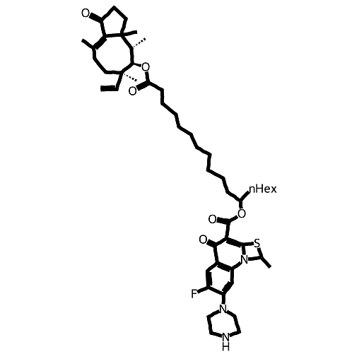 C=C[C@@]1(C)CC/C(C)=C2/C(=O)CCC2(C)[C@H](C)[C@H]1OC(=O)CCCCCCCCCCC(CCCCCC)OC(=O)c1c2n(c3cc(N4CCNCC4)c(F)cc3c1=O)C(C)S2